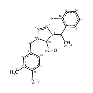 Cc1cc(CN2N=NN(C(C)c3ccccc3F)C2C=O)ccc1N